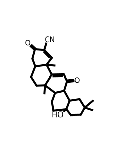 CC1(C)CCC2(O)CCC3C(C(=O)C=C4C5(C)C=C(C#N)C(=O)CC5CCC43C)C2C1